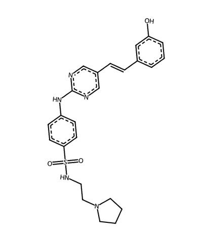 O=S(=O)(NCCN1CCCC1)c1ccc(Nc2ncc(C=Cc3cccc(O)c3)cn2)cc1